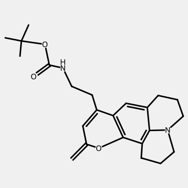 C=C1C=C(CCNC(=O)OC(C)(C)C)c2cc3c4c(c2O1)CCCN4CCC3